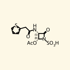 CC(=O)O[C@@H]1[C@H](NC(=O)Cc2cccs2)C(=O)N1S(=O)(=O)O